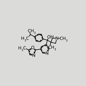 Cc1cnc(-c2cncc(C(O)(c3ccc(C(C)C)cc3)C3(C)CN(C)C3)c2)o1